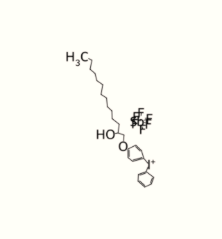 CCCCCCCCCCCCC(O)COc1ccc([I+]c2ccccc2)cc1.[F][Sb-]([F])([F])([F])([F])[F]